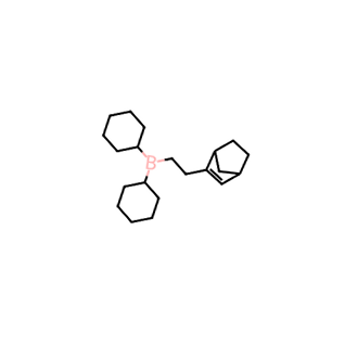 C1=C(CCB(C2CCCCC2)C2CCCCC2)C2CCC1C2